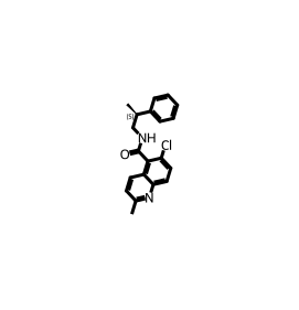 Cc1ccc2c(C(=O)NC[C@@H](C)c3ccccc3)c(Cl)ccc2n1